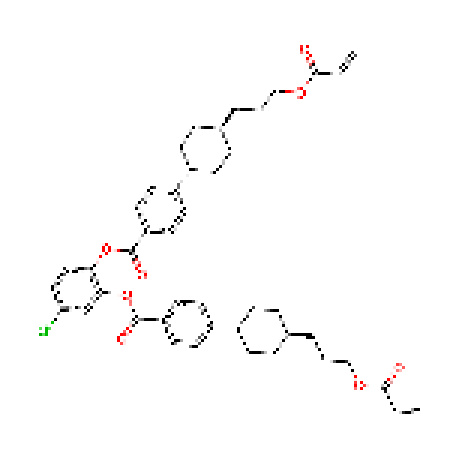 C=CC(=O)OCCC[C@H]1CC[C@H](c2ccc(C(=O)Oc3ccc(Cl)cc3OC(=O)c3ccc([C@H]4CC[C@H](CCCOC(=O)C=C)CC4)cc3)cc2)CC1